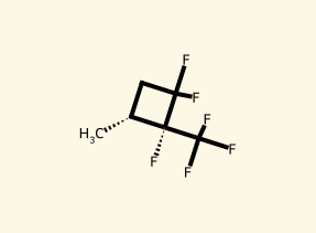 C[C@@H]1CC(F)(F)[C@@]1(F)C(F)(F)F